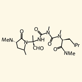 CNC(=O)[C@H](CC(C)C)N(C)C(=O)N(C)C(=O)N[C@](C)(C=O)N1C(=O)[C@@H](NC)CC1C